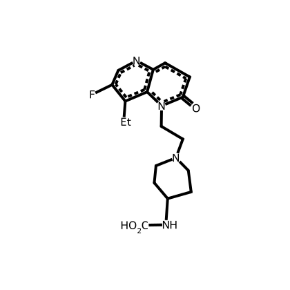 CCc1c(F)cnc2ccc(=O)n(CCN3CCC(NC(=O)O)CC3)c12